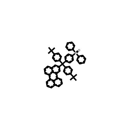 CC(C)(C)c1ccc(C(c2ccc(C(C)(C)C)cc2)(c2ccc(P(=O)(c3ccccc3)c3ccccc3)cc2)c2cc3cccc4c5cccc6cccc(c(c2)c34)c65)cc1